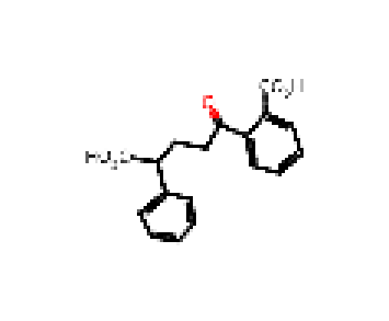 O=C(O)c1ccccc1C(=O)CCC(C(=O)O)c1ccccc1